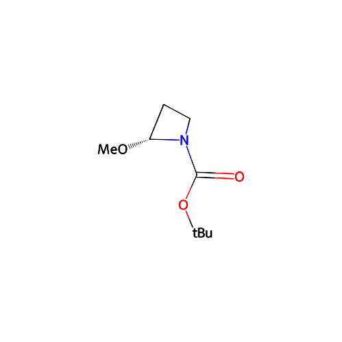 CO[C@@H]1CCN1C(=O)OC(C)(C)C